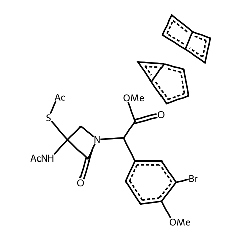 COC(=O)C(c1ccc(OC)c(Br)c1)N1CC(NC(C)=O)(SC(C)=O)C1=O.c1cc2cc-2c1.c1cc2ccc1-2